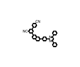 N#Cc1ccc(-c2cc(C#N)cc(-c3ccc4ccc(-c5ccc(-c6nc(-c7ccccc7)cc(-c7ccccc7)n6)cc5)cc4c3)c2)cc1